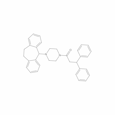 O=C(CC(c1ccccc1)c1ccccc1)N1CCN(C2c3ccccc3CCc3ccccc32)CC1